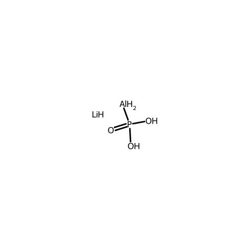 O=[P](O)(O)[AlH2].[LiH]